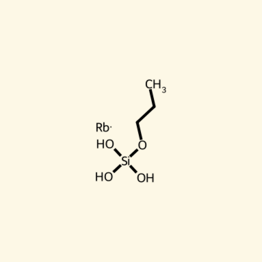 CCCO[Si](O)(O)O.[Rb]